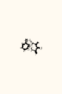 C=C1CNCC(=C)C1=O.Nc1ccccc1